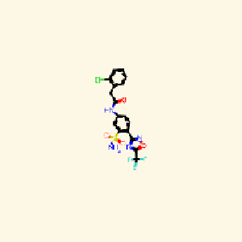 NS(=O)(=O)c1cc(NC(=O)Cc2ccccc2Cl)ccc1-c1noc(C(F)(F)F)n1